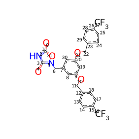 O=c1[nH]c(=O)n(Cc2cc(OCc3ccc(C(F)(F)F)cc3)cc(OCc3ccc(C(F)(F)F)cc3)c2)o1